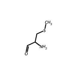 CSCC(N)C=O